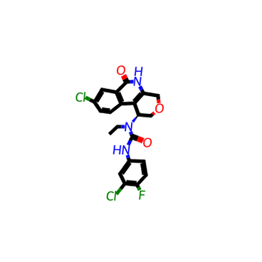 CCN(C(=O)Nc1ccc(F)c(Cl)c1)[C@@H]1COCc2[nH]c(=O)c3cc(Cl)ccc3c21